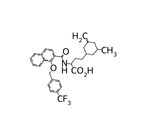 C=C1CC(C)CC(CCC(NC(=O)c2ccc3ccccc3c2OCc2ccc(C(F)(F)F)cc2)C(=O)O)C1